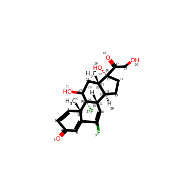 C[C@]12C=CC(=O)C=C1C(F)=C[C@H]1[C@@H]3CC[C@](O)(C(=O)CO)[C@@]3(C)CC(O)[C@@]12F